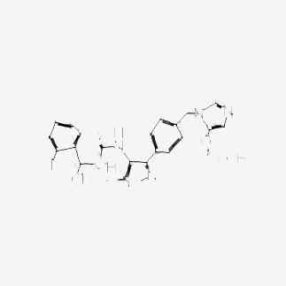 Cc1onc(-c2ccc(Cn3cncc3OC(=O)O)cc2)c1NC(=O)OC(C)c1ccccc1Cl